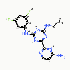 Nc1ccnc(-c2nc(NCC(F)(F)F)nc(Nc3cc(F)cc(F)c3)n2)n1